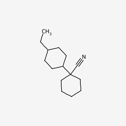 CCC1CCC(C2(C#N)CCCCC2)CC1